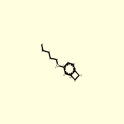 CCCCCOc1ccc2c(c1)CC2